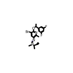 C#CC(C)N(C)/C=N/c1cc(Br)c(OC(C)c2cc(F)cc(F)c2)nc1C